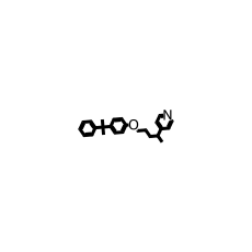 CC(CCCOc1ccc(C(C)(C)c2ccccc2)cc1)c1ccncc1